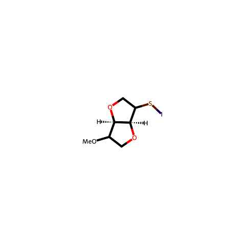 COC1CO[C@@H]2C(SI)CO[C@H]12